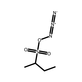 CCC(C)S(=O)(=O)ON=[N+]=[N-]